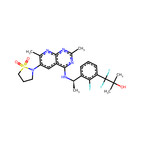 Cc1nc(N[C@H](C)c2cccc(C(F)(F)C(C)(C)O)c2F)c2cc(N3CCCS3(=O)=O)c(C)nc2n1